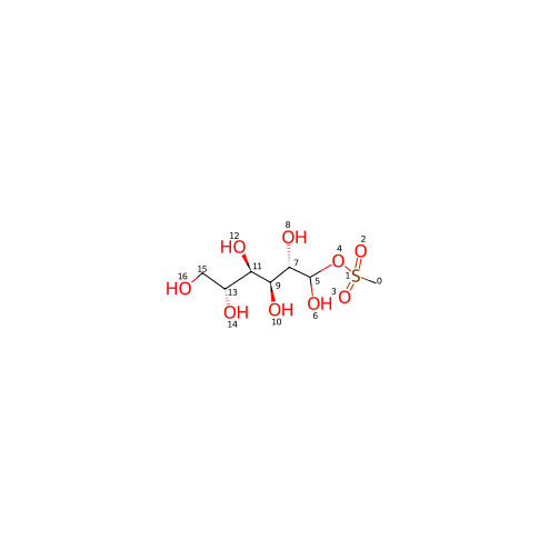 CS(=O)(=O)OC(O)[C@@H](O)[C@@H](O)[C@H](O)[C@H](O)CO